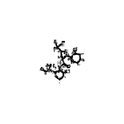 NN(C=O)c1cccc(Cl)c1NC(=O)c1cc(C(F)(F)F)nn1-c1ncccc1Cl